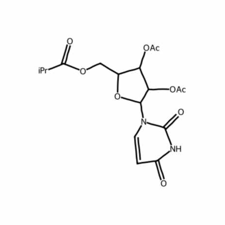 CC(=O)OC1C(COC(=O)C(C)C)OC(n2ccc(=O)[nH]c2=O)C1OC(C)=O